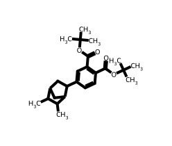 CC1C2CC(c3ccc(C(=O)OC(C)(C)C)c(C(=O)OC(C)(C)C)c3)C(C2)C1C